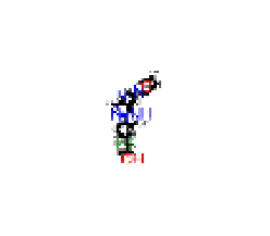 Cc1nnc(N[C@H](C)c2cccc(C(F)(F)C(C)(C)O)c2)c2cc(N3CC4CCC(C3)O4)cnc12